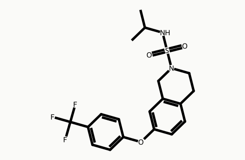 CC(C)NS(=O)(=O)N1CCc2ccc(Oc3ccc(C(F)(F)F)cc3)cc2C1